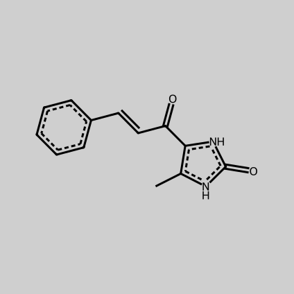 Cc1[nH]c(=O)[nH]c1C(=O)C=Cc1ccccc1